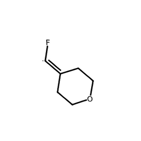 F[C]=C1CCOCC1